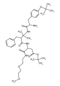 COCCOCCNC(=O)C(CC(=O)OC(C)(C)C)NC(=O)C(Cc1ccccc1)C(C)(C)NC(=O)C(N)Cc1ccc(OC(C)(C)C)cc1